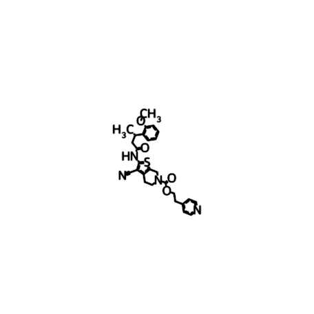 COc1ccccc1C(C)CC(=O)Nc1sc2c(c1C#N)CCN(C(=O)OCCc1ccncc1)C2